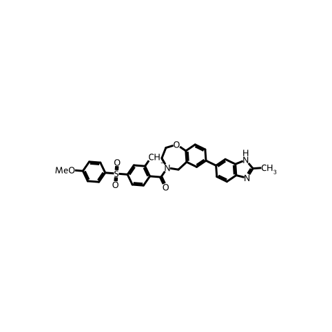 COc1ccc(S(=O)(=O)c2ccc(C(=O)N3CCOc4ccc(-c5ccc6nc(C)[nH]c6c5)cc4C3)c(C)c2)cc1